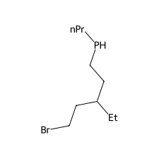 CCCPCCC(CC)CCBr